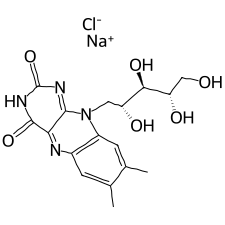 Cc1cc2nc3c(=O)[nH]c(=O)nc-3n(C[C@@H](O)[C@@H](O)[C@@H](O)CO)c2cc1C.[Cl-].[Na+]